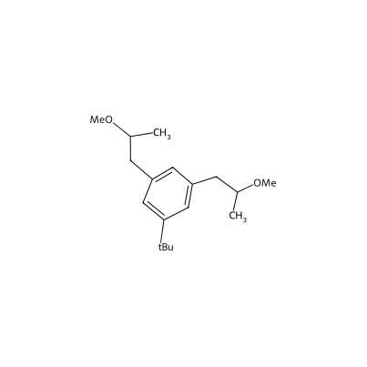 COC(C)Cc1cc(CC(C)OC)cc(C(C)(C)C)c1